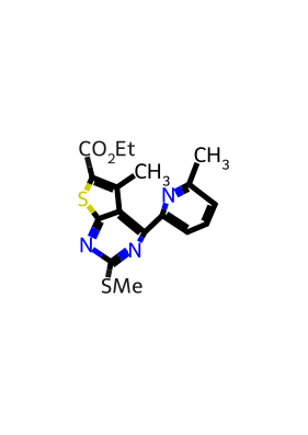 CCOC(=O)c1sc2nc(SC)nc(-c3cccc(C)n3)c2c1C